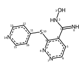 N=C(NO)c1ccnnc1Sc1ccncc1